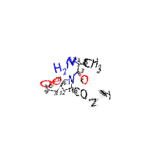 C[C@H](N)C(=O)N1CC2(CCOO2)C[C@H]1C(=O)O